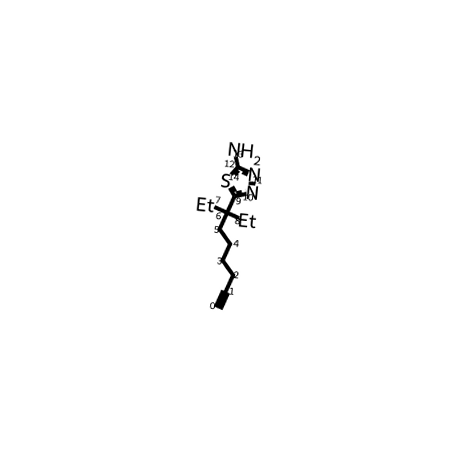 C#CCCCCC(CC)(CC)c1nnc(N)s1